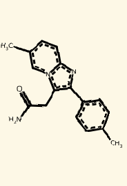 Cc1ccc(-c2nc3ccc(C)cn3c2CC(N)=O)cc1